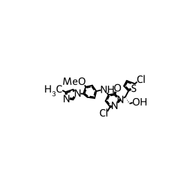 COc1cc(Nc2cc(Cl)nn([C@@H](CO)c3ccc(Cl)s3)c2=O)ccc1-n1cnc(C)c1